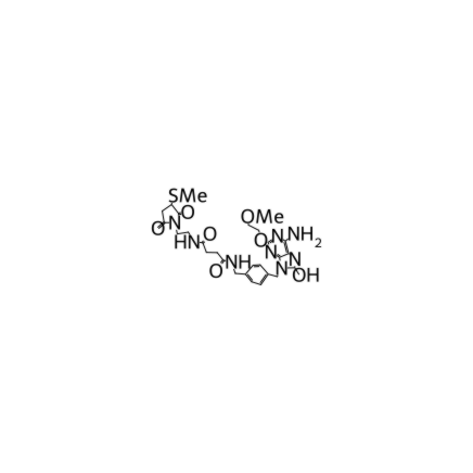 COCCOc1nc(N)c2nc(O)n(Cc3ccc(CNC(=O)CCC(=O)NCCN4C(=O)CC(SC)C4=O)cc3)c2n1